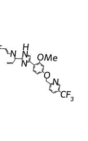 C=C/C(=N\C=C\F)c1nc(-c2ccc(OCc3ccc(C(F)(F)F)cn3)cc2OC)c[nH]1